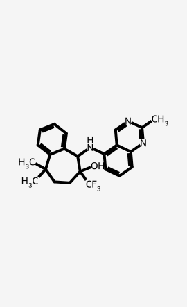 Cc1ncc2c(NC3c4ccccc4C(C)(C)CCC3(O)C(F)(F)F)cccc2n1